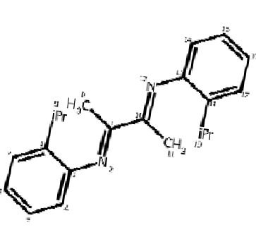 CC(=Nc1ccccc1C(C)C)C(C)=Nc1ccccc1C(C)C